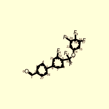 O=Cc1ccc(-c2ccc(C(F)(F)Oc3cc(F)c(F)c(F)c3)c(F)c2)cc1